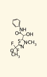 COC(F)(F)C1=NN(C)C(C(O)C(=O)Nc2ccccc2)S1